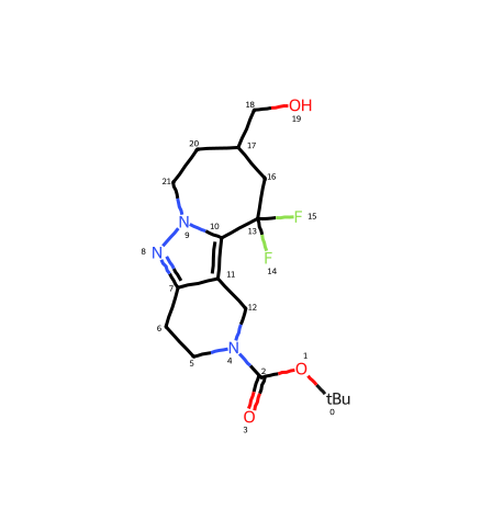 CC(C)(C)OC(=O)N1CCc2nn3c(c2C1)C(F)(F)CC(CO)CC3